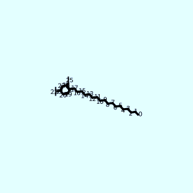 CCCCCCCCCCCCCCCCCCc1ccc(I)cc1I